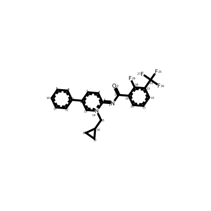 O=C(/N=c1\ccc(-c2ccccc2)cn1CC1CC1)c1cccc(C(F)(F)F)c1F